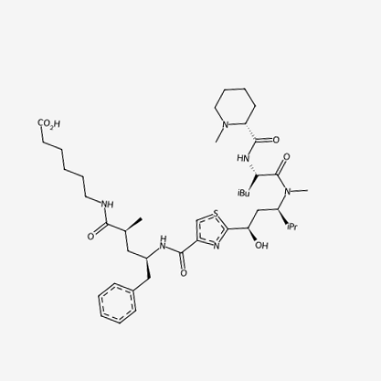 CC[C@H](C)[C@H](NC(=O)[C@H]1CCCCN1C)C(=O)N(C)[C@H](C[C@@H](O)c1nc(C(=O)N[C@@H](Cc2ccccc2)C[C@H](C)C(=O)NCCCCCC(=O)O)cs1)C(C)C